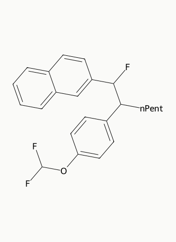 CCCCCC(c1ccc(OC(F)F)cc1)C(F)c1ccc2ccccc2c1